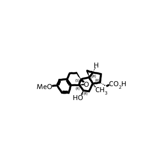 COc1ccc2c(c1)CC[C@@]13O[C@@]21[C@H](O)C[C@]1(C)[C@@H](CC(=O)O)C[C@@H]2C[C@]231